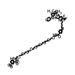 CC(C)[C@]1(C(=O)N2CCc3nc(CCCCOc4ccc(C(=O)NCCOCCOCCOCCOCCOCCOCCOCCOCCOCCNc5ccc([N+](=O)[O-])cc5[N+](=O)[O-])cc4)c(C(F)(F)F)cc3C2)CC[C@@H](NC2CCOCC2)C1